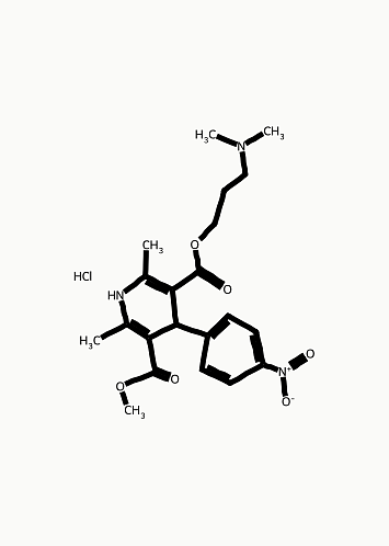 COC(=O)C1=C(C)NC(C)=C(C(=O)OCCCN(C)C)C1c1ccc([N+](=O)[O-])cc1.Cl